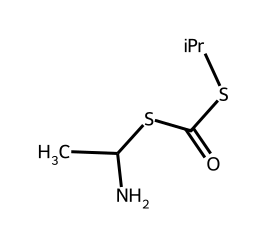 CC(C)SC(=O)SC(C)N